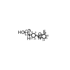 CC(C)(O)C(=O)Nc1ccc(-c2nc3cccc(F)c3o2)cc1